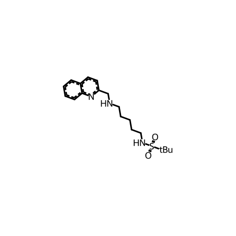 CC(C)(C)S(=O)(=O)NCCCCCNCc1ccc2ccccc2n1